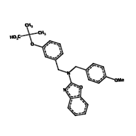 COc1ccc(CN(Cc2cccc(OC(C)(C)C(=O)O)c2)c2nc3ccccc3o2)cc1